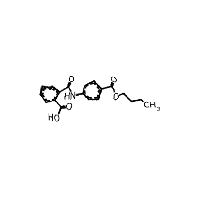 CCCCOC(=O)c1ccc(NC(=O)c2ccccc2C(=O)O)cc1